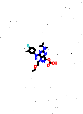 CCOCCn1nc(OC(=O)O)c2nc(N(C)C(C)C)nc(Nc3ccc(F)c(C)c3)c21